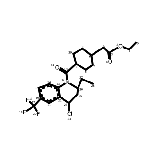 CCOC(=O)CC1CCC(C(=O)N2c3ccc(C(F)(F)F)cc3C(Cl)CC2CC)CC1